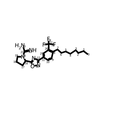 CCCCCCCCc1ccc(-c2noc(C3CCCN3C(=N)N)n2)cc1C(F)(F)F